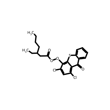 CCCCC(CC)CC(=O)OOc1c(Cl)cc(Cl)c2c(=O)c3ccccc3sc12